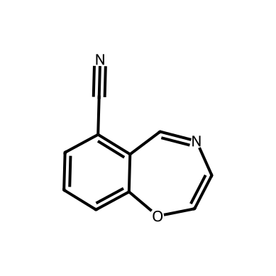 N#Cc1cccc2c1C=NC=CO2